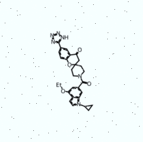 CCOc1cc(C(=O)N2CCC3(CC2)CC(=O)c2cc(-c4nnn[nH]4)ccc2O3)cc2c1ccn2C1CC1